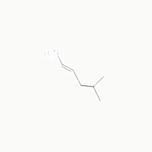 [CH2]C(C)CC=CN